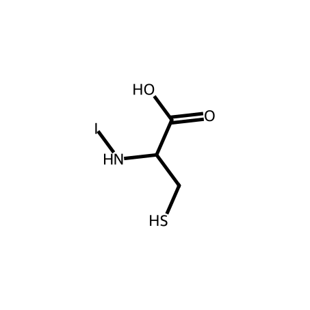 O=C(O)C(CS)NI